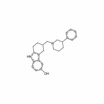 Oc1ccc2[nH]c3c(c2c1)CC(CN1CCCC(c2ccccc2)C1)CC3